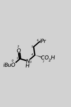 CC(C)COC(=O)N[C@H](CC(C)C)C(=O)O